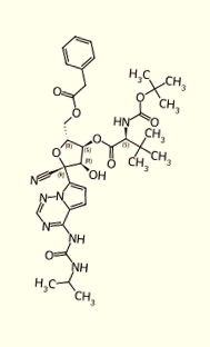 CC(C)NC(=O)Nc1ncnn2c([C@]3(C#N)O[C@H](COC(=O)Cc4ccccc4)[C@@H](OC(=O)[C@@H](NC(=O)OC(C)(C)C)C(C)(C)C)[C@H]3O)ccc12